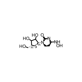 O=c1nc(NO)ccn1[C@@H]1S[C@H](CO)C(O)C1O